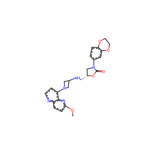 COc1ccc2nccc(N3CC(NC[C@@H]4CN(c5ccc6c(c5)OCCO6)C(=O)O4)C3)c2n1